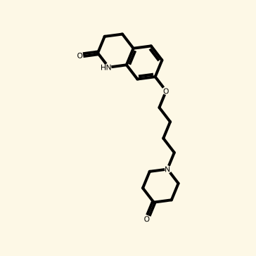 O=C1CCN(CCCCOc2ccc3c(c2)NC(=O)CC3)CC1